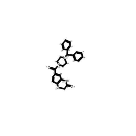 O=C1COc2ccc(C(=O)N3CCN(C(c4ccccc4)c4ccccc4)CC3)cc2N1